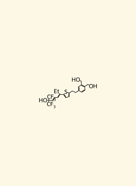 CCC(=CC=CC(O)(C(F)(F)F)C(F)(F)F)c1ccc(CCc2ccc(CO)c(CO)c2)s1